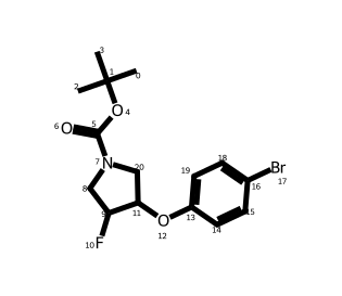 CC(C)(C)OC(=O)N1CC(F)C(Oc2ccc(Br)cc2)C1